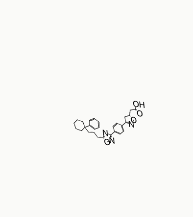 O=C(O)CC1CC(c2ccc(-c3noc(CCCC4(c5ccccc5)CCCCC4)n3)cc2)=NO1